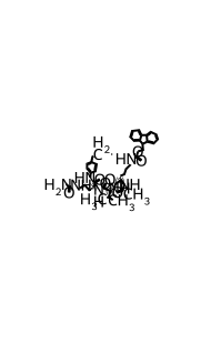 [CH2]Cc1ccc(NC(=O)[C@H](CCCNC(N)=O)NC(=O)[C@@H](NC(=O)[C@H](CCCCNC(=O)OCC2c3ccccc3-c3ccccc32)NC(C)=O)C(C)C)cc1